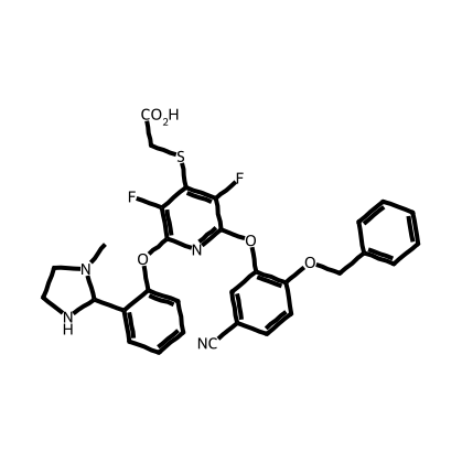 CN1CCNC1c1ccccc1Oc1nc(Oc2cc(C#N)ccc2OCc2ccccc2)c(F)c(SCC(=O)O)c1F